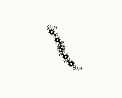 O=C(O)Oc1ccc(C(=O)Oc2ccc(C(=O)O[C@@H]3CO[C@@H]4[C@H]3OC[C@H]4OC(=O)c3ccc(OC(=O)c4ccc(OC(=O)O)cc4)cc3)cc2)cc1